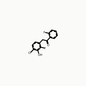 O=C(Cc1ccc(Cl)c(O)c1F)c1ccccc1F